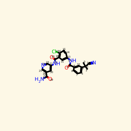 CC(C)(C#N)c1cccc(C(=O)Nc2ccc(Cl)c(C(=O)Nc3cncc(C(N)=O)c3)c2)c1